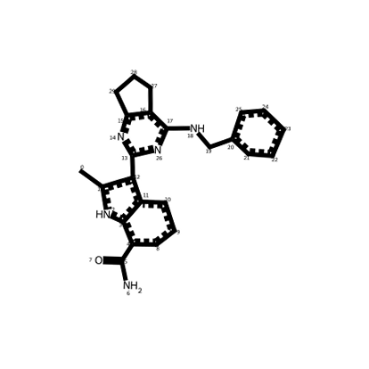 Cc1[nH]c2c(C(N)=O)cccc2c1-c1nc2c(c(NCc3ccccc3)n1)CCC2